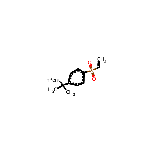 C=CS(=O)(=O)c1ccc(C(C)(C)CCCCC)cc1